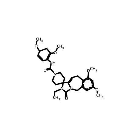 CCN1C(=O)N2Cc3cc(OC)cc(OC)c3CC=C2C12CCN(C(=O)NC1=C(OC)CC(OC)C=C1)CC2